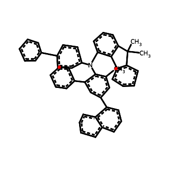 Cc1cc(-c2cccc3ccccc23)cc(-c2ccccc2)c1N(c1ccc(-c2ccccc2)cc1)c1cccc2c1-c1ccccc1C2(C)C